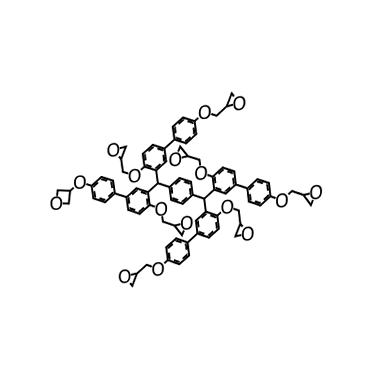 c1cc(-c2ccc(OCC3CO3)c(C(c3ccc(C(c4cc(-c5ccc(OCC6CO6)cc5)ccc4OCC4CO4)c4cc(-c5ccc(OC6COC6)cc5)ccc4OCC4CO4)cc3)c3cc(-c4ccc(OCC5CO5)cc4)ccc3OCC3CO3)c2)ccc1OCC1CO1